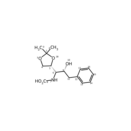 CC1(C)OC[C@@H](C(NC(=O)O)[C@H](O)Cc2ccccc2)O1